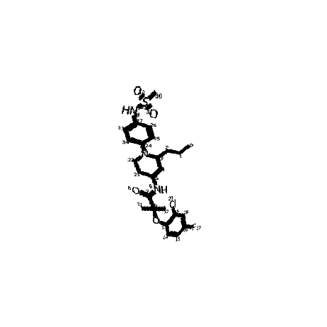 CCCC1CC(NC(=O)C(C)(C)Oc2ccc(F)cc2Cl)CCN1c1ccc(NS(C)(=O)=O)cc1